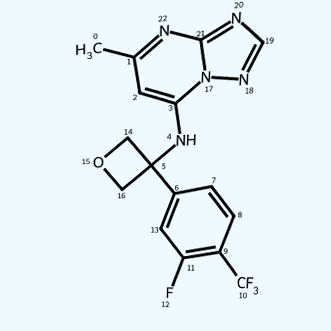 Cc1cc(NC2(c3ccc(C(F)(F)F)c(F)c3)COC2)n2ncnc2n1